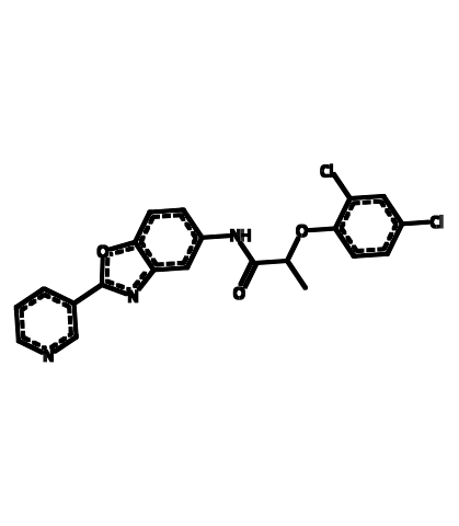 CC(Oc1ccc(Cl)cc1Cl)C(=O)Nc1ccc2oc(-c3cccnc3)nc2c1